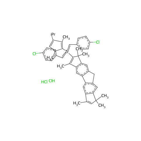 CC1=CC(C)(C)c2cc3c(cc21)-c1cc2c(cc1C3)C(C)(C)[C]([Zr](=[CH]c1ccc(Cl)cc1)(=[CH]c1ccc(Cl)cc1)[C]1=C(C)C(C(C)C)=CC1C)=C2C.Cl.Cl